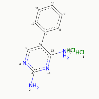 Cl.Cl.Nc1ncc(-c2ccccc2)c(N)n1